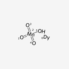 [Dy].[O]=[Mn](=[O])(=[O])[OH]